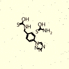 NC(O)=S.OC(=S)NCc1ccc(-n2cnnn2)cc1